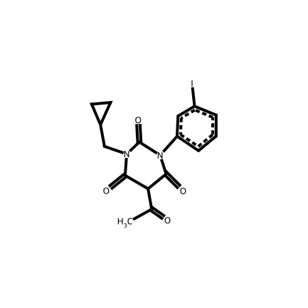 CC(=O)C1C(=O)N(CC2CC2)C(=O)N(c2cccc(I)c2)C1=O